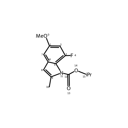 COc1cc(F)c2c(c1)cc(C)n2C(=O)OC(C)C